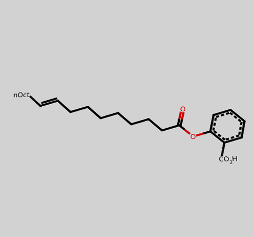 CCCCCCCCC=CCCCCCCCC(=O)Oc1ccccc1C(=O)O